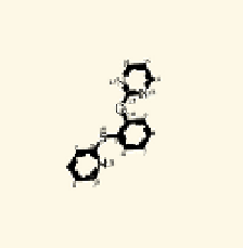 c1ccc(Sc2ccccc2Oc2ncccn2)nc1